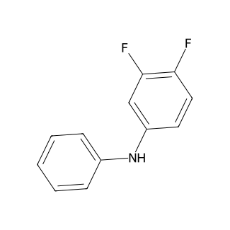 Fc1ccc(Nc2ccccc2)cc1F